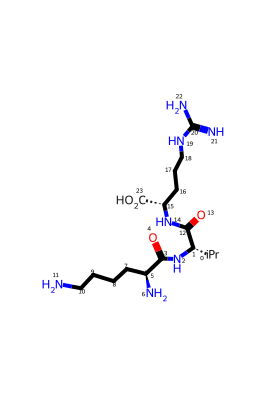 CC(C)[C@H](NC(=O)[C@@H](N)CCCCN)C(=O)N[C@@H](CCCNC(=N)N)C(=O)O